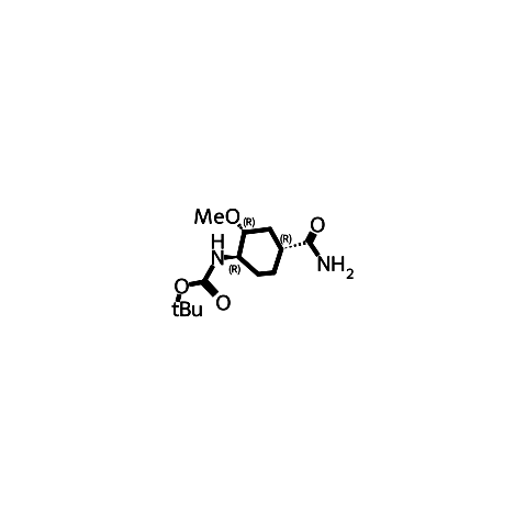 CO[C@@H]1C[C@H](C(N)=O)CC[C@H]1NC(=O)OC(C)(C)C